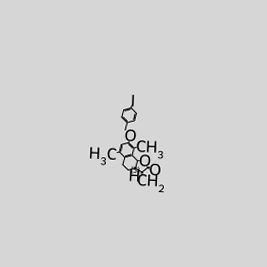 C=C1C(=O)OC2c3c(C)c(OCc4ccc(I)cc4)cc(C)c3CC[C@@H]12